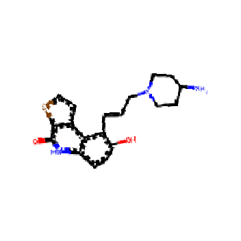 NC1CCN(CC=Cc2c(O)ccc3[nH]c(=O)c4sccc4c23)CC1